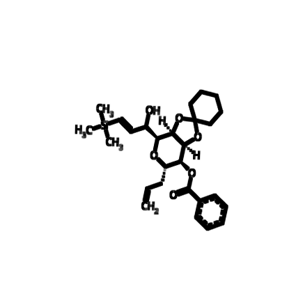 C=CC[C@@H]1O[C@@H](C(O)/C=C/[Si](C)(C)C)[C@H]2OC3(CCCCC3)O[C@H]2[C@H]1OC(=O)c1ccccc1